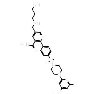 NCCCNCc1cnc(-c2ccc(S(=O)(=O)N3CCN(c4cc(C(F)(F)F)cc(Cl)n4)CC3)cc2)c(C(N)=O)c1